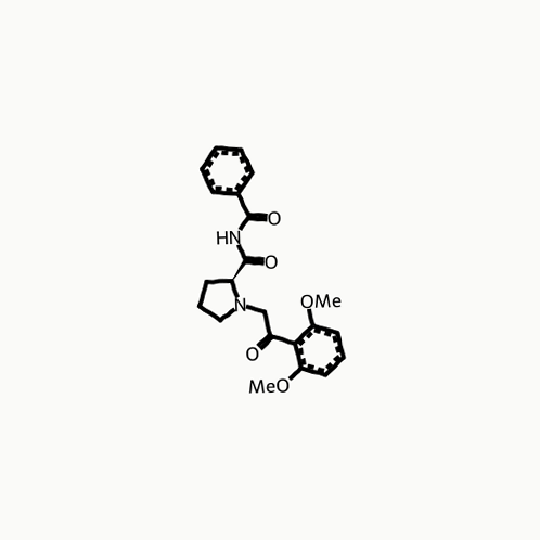 COc1cccc(OC)c1C(=O)CN1CCC[C@H]1C(=O)NC(=O)c1ccccc1